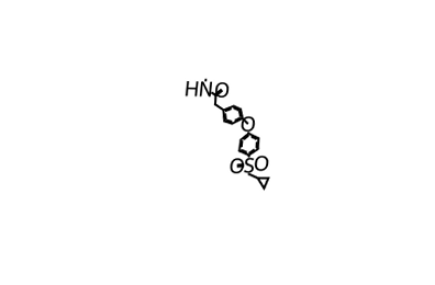 CNC(=O)Cc1ccc(Oc2ccc(S(=O)(=O)CC3CC3)cc2)cc1